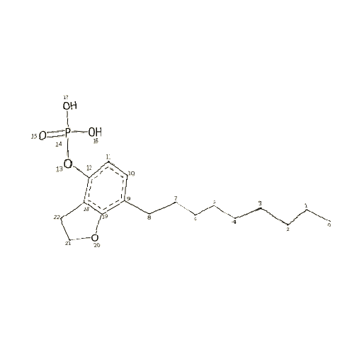 CCCCCCCCCc1ccc(OP(=O)(O)O)c2c1OCC2